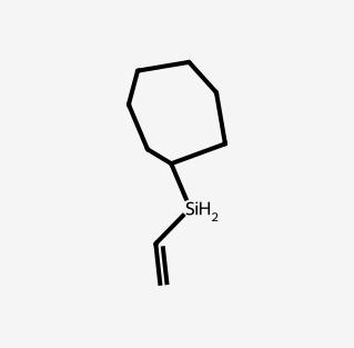 C=C[SiH2]C1CCCCCC1